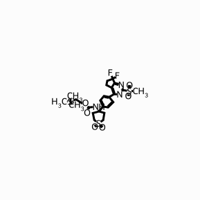 C[Si](C)(C)CCOC(=O)NC1(c2ccc(-c3nc(S(C)(=O)=O)nc4c3CCC4(F)F)cc2)CCS(=O)(=O)CC1